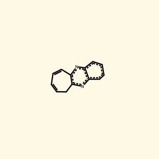 C1=CCc2nc3ccccc3nc2C=C1